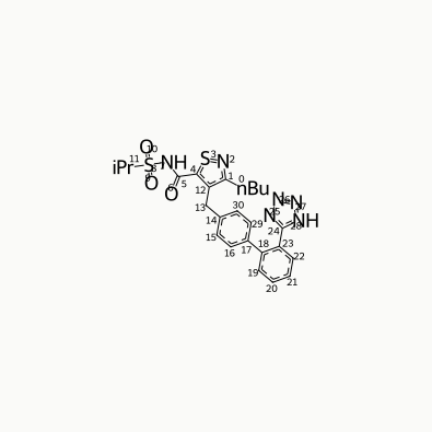 CCCCc1nsc(C(=O)NS(=O)(=O)C(C)C)c1Cc1ccc(-c2ccccc2-c2nnn[nH]2)cc1